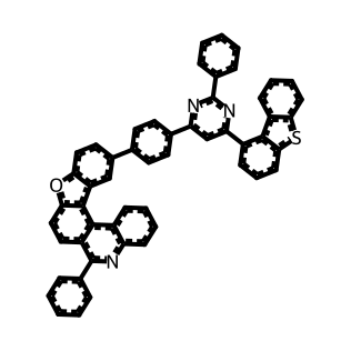 c1ccc(-c2nc(-c3ccc(-c4ccc5oc6ccc7c(-c8ccccc8)nc8ccccc8c7c6c5c4)cc3)cc(-c3cccc4sc5ccccc5c34)n2)cc1